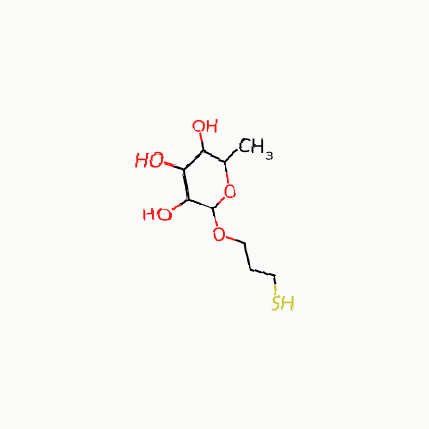 CC1OC(OCCCS)C(O)C(O)C1O